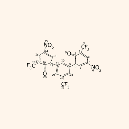 O=C1C(C(F)(F)F)=CC([N+](=O)[O-])=CC1c1cc(C2C=C([N+](=O)[O-])C=C(C(F)(F)F)C2=O)cc(C(F)(F)F)c1